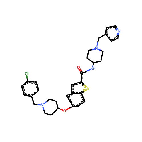 O=C(NC1CCN(Cc2ccncc2)CC1)c1cc2cc(OC3CCN(Cc4ccc(Cl)cc4)CC3)ccc2s1